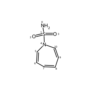 NS(=O)(=O)N1C=CC=CC=C1